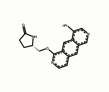 CCCc1cncc2cc3ccnc(OC[C@@H]4CCC(=O)N4)c3cc12